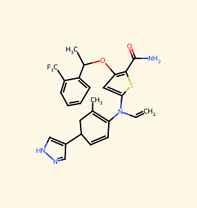 C=CN(C1=C(C)CC(c2cn[nH]c2)C=C1)c1cc(OC(C)c2ccccc2C(F)(F)F)c(C(N)=O)s1